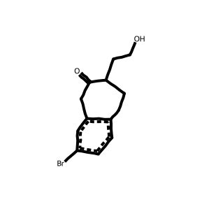 O=C1Cc2cc(Br)ccc2CCC1CCO